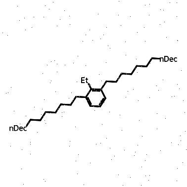 [CH2]Cc1c(CCCCCCCCCCCCCCCCC)cccc1CCCCCCCCCCCCCCCCC